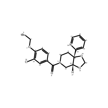 CC(C)(C)COc1ccc(C(=O)N2CC[C@]3(c4ccccn4)OCO[C@@H]3C2)cc1Cl